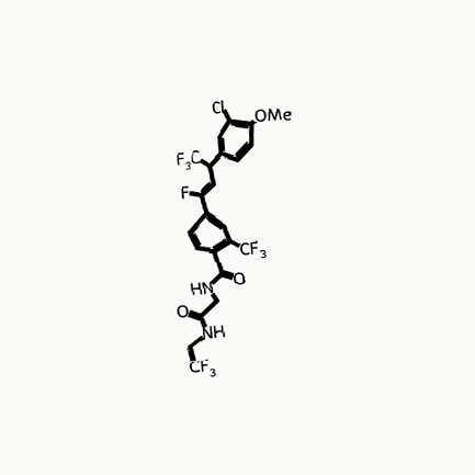 COc1ccc(C(/C=C(\F)c2ccc(C(=O)NCC(=O)NCC(F)(F)F)c(C(F)(F)F)c2)C(F)(F)F)cc1Cl